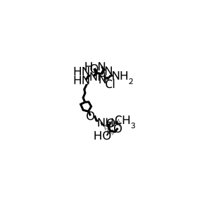 C[C@@H]1OC[C@@H](O)[C@H](CNCCOC2CCC(CCCCNC(=N)NC(=O)c3nc(Cl)c(N)nc3N)CC2)O1